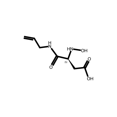 C=CCNC(=O)[C@H](CC(=O)O)NO